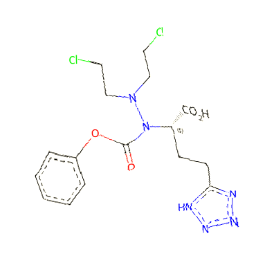 O=C(O)[C@H](CCc1nnn[nH]1)N(C(=O)Oc1ccccc1)N(CCCl)CCCl